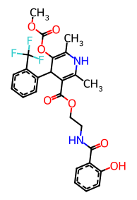 COC(=O)OC1=C(C)NC(C)=C(C(=O)OCCNC(=O)c2ccccc2O)C1c1ccccc1C(F)(F)F